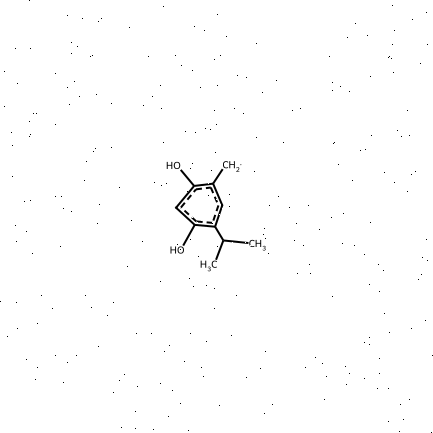 [CH2]c1cc(C(C)C)c(O)cc1O